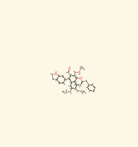 C=C(Cc1ccccc1)Oc1c(COC)c(C=O)c(-c2ccc3c(c2)OCC3)c2cc(CC)c(CC)cc12